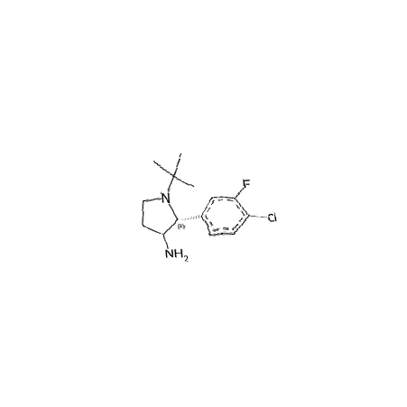 CC(C)(C)N1CCC(N)[C@H]1c1ccc(Cl)c(F)c1